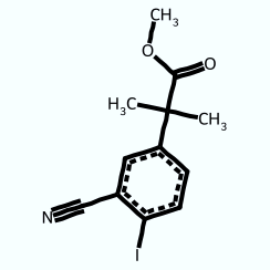 COC(=O)C(C)(C)c1ccc(I)c(C#N)c1